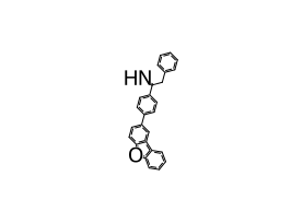 N=C(Cc1ccccc1)c1ccc(-c2ccc3oc4ccccc4c3c2)cc1